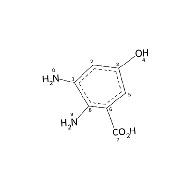 Nc1cc(O)cc(C(=O)O)c1N